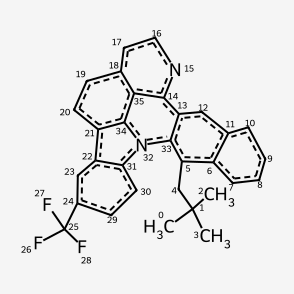 CC(C)(C)Cc1c2ccccc2cc2c3nccc4ccc5c6cc(C(F)(F)F)ccc6n(c12)c5c43